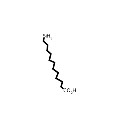 O=C(O)CCCCCCCCCCC[SiH3]